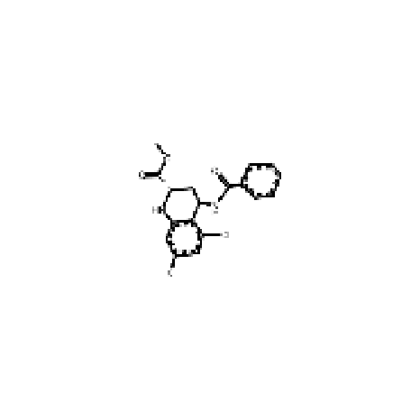 COC(=O)[C@@H]1C[C@@H](NC(=O)c2ccccc2)c2c(Cl)cc(Cl)cc2N1